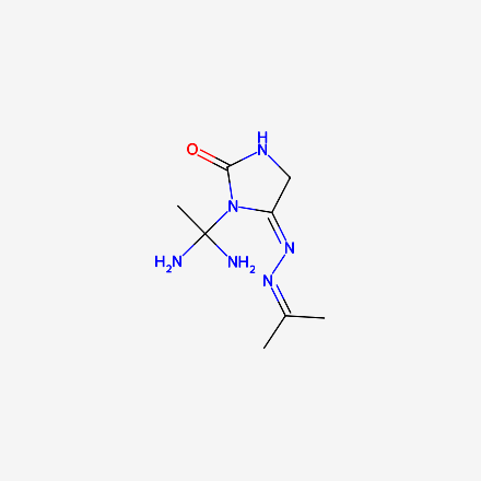 CC(C)=NN=C1CNC(=O)N1C(C)(N)N